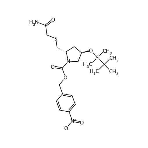 CC(C)(C)[Si](C)(C)O[C@@H]1C[C@@H](CSCC(N)=O)N(C(=O)OCc2ccc([N+](=O)[O-])cc2)C1